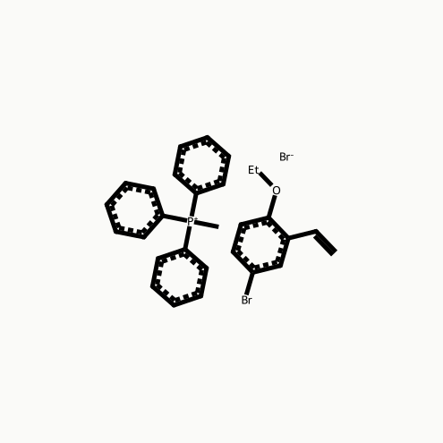 C=Cc1cc(Br)ccc1OCC.C[P+](c1ccccc1)(c1ccccc1)c1ccccc1.[Br-]